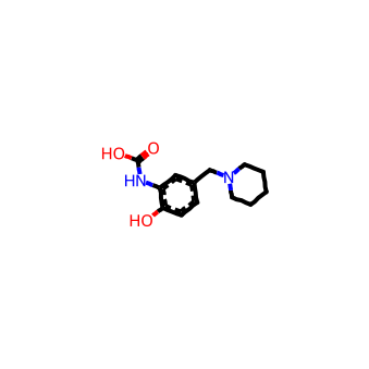 O=C(O)Nc1cc(CN2CCCCC2)ccc1O